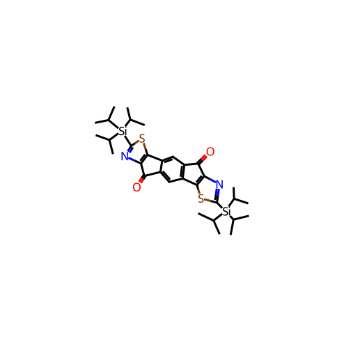 CC(C)[Si](c1nc2c(=O)c3cc4c(cc3c2s1)c(=O)c1nc([Si](C(C)C)(C(C)C)C(C)C)sc14)(C(C)C)C(C)C